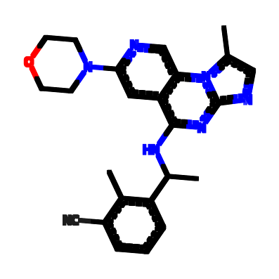 Cc1c(C#N)cccc1C(C)Nc1nc2ncc(C)n2c2cnc(N3CCOCC3)cc12